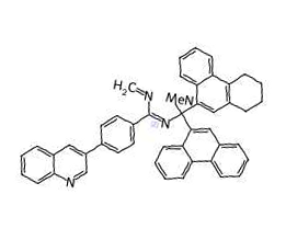 C=N/C(=N\C(NC)(c1cc2c(c3ccccc13)CCCC2)c1cc2ccccc2c2ccccc12)c1ccc(-c2cnc3ccccc3c2)cc1